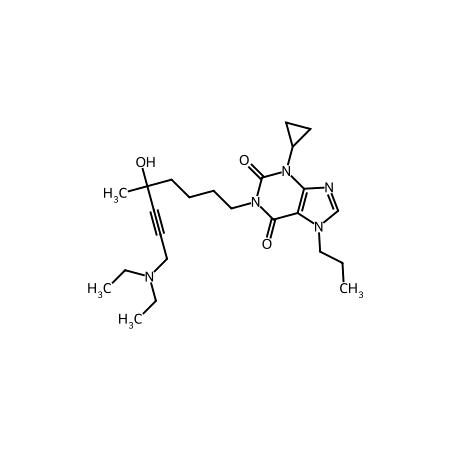 CCCn1cnc2c1c(=O)n(CCCCC(C)(O)C#CCN(CC)CC)c(=O)n2C1CC1